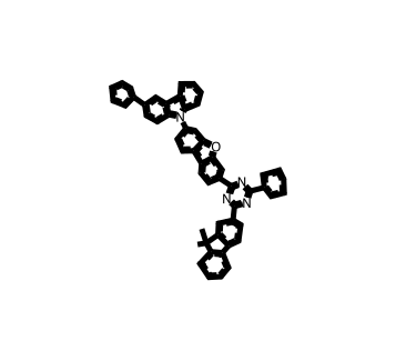 CC1(C)c2ccccc2-c2ccc(-c3nc(-c4ccccc4)nc(-c4ccc5c(c4)oc4cc(-n6c7ccccc7c7cc(-c8ccccc8)ccc76)ccc45)n3)cc21